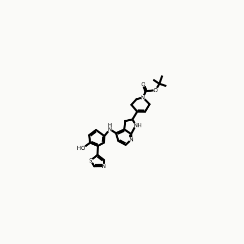 CC(C)(C)OC(=O)N1CC=C(C2Cc3c(Nc4ccc(O)c(-c5cncs5)c4)ccnc3N2)CC1